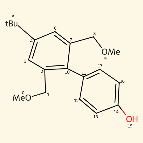 COCc1cc(C(C)(C)C)cc(COC)c1-c1ccc(O)cc1